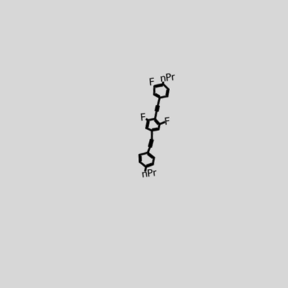 CCCc1ccc(C#Cc2cc(F)c(C#Cc3ccc(CCC)c(F)c3)c(F)c2)cc1